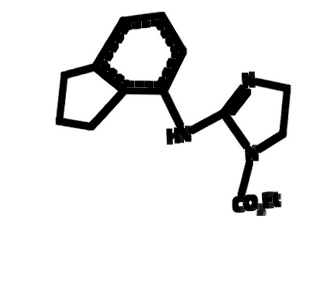 CCOC(=O)N1CCN=C1Nc1cccc2c1CCC2